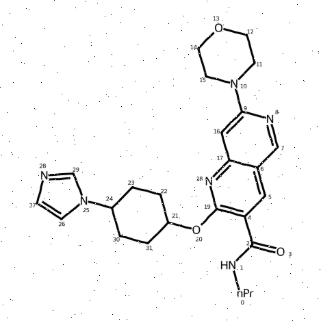 CCCNC(=O)c1cc2cnc(N3CCOCC3)cc2nc1OC1CCC(n2ccnc2)CC1